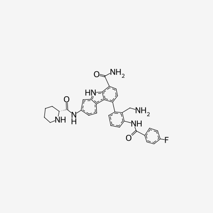 NCc1c(NC(=O)c2ccc(F)cc2)cccc1-c1ccc(C(N)=O)c2[nH]c3cc(NC(=O)[C@H]4CCCCN4)ccc3c12